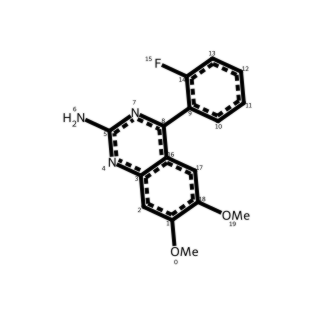 COc1cc2nc(N)nc(-c3ccccc3F)c2cc1OC